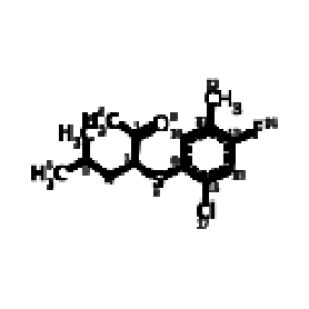 CC(=O)C(CC(C)C)Sc1cc(C)c(F)cc1Cl